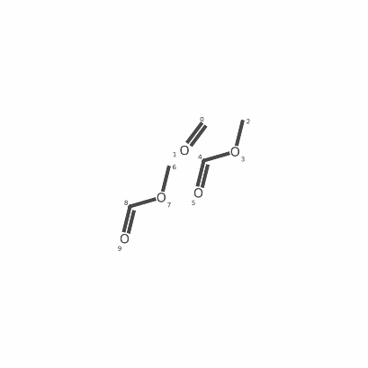 C=O.COC=O.COC=O